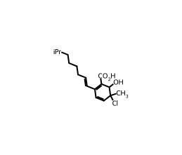 CC(C)CCCCC=CC1=C(C(=O)O)C(O)C(C)(Cl)C=C1